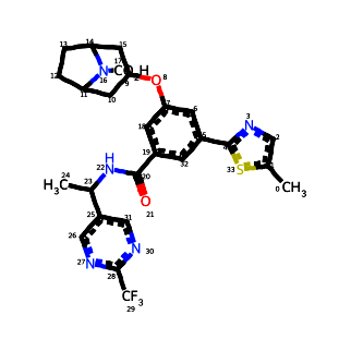 Cc1cnc(-c2cc(OC3CC4CCC(C3)N4C(=O)O)cc(C(=O)NC(C)c3cnc(C(F)(F)F)nc3)c2)s1